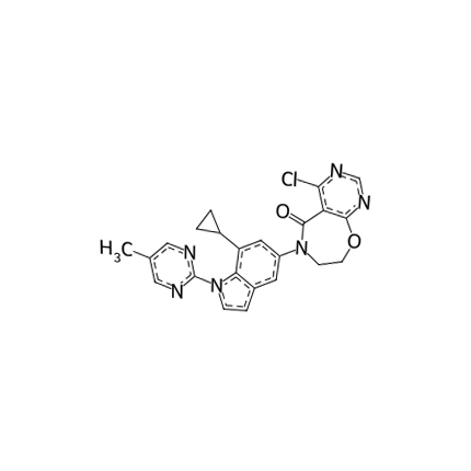 Cc1cnc(-n2ccc3cc(N4CCOc5ncnc(Cl)c5C4=O)cc(C4CC4)c32)nc1